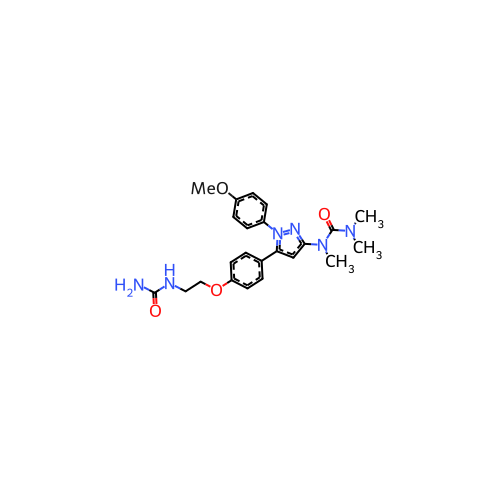 COc1ccc(-n2nc(N(C)C(=O)N(C)C)cc2-c2ccc(OCCNC(N)=O)cc2)cc1